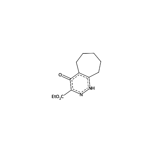 CCOC(=O)c1n[nH]c2c(c1=O)CCCCC2